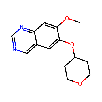 COc1cc2ncncc2cc1OC1CCOCC1